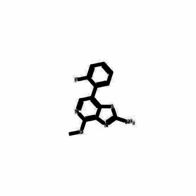 COc1ncc(-c2ccccc2F)c2sc(N)nc12